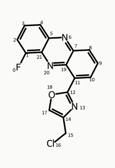 Fc1cccc2nc3cccc(-c4nc(CCl)co4)c3nc12